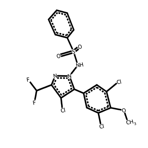 COc1c(Cl)cc(-c2c(Cl)c(C(F)F)nn2NS(=O)(=O)c2ccccc2)cc1Cl